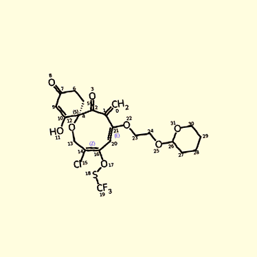 C=C1C(=O)[C@@]2(CCC(=O)C=C2O)OC/C(Cl)=C(OSC(F)(F)F)\C=C/1OCCOC1CCCCO1